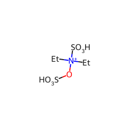 CC[N+](CC)(OS(=O)(=O)O)S(=O)(=O)O